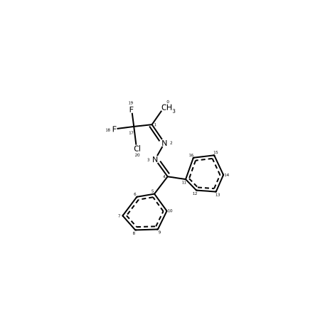 CC(=NN=C(c1ccccc1)c1ccccc1)C(F)(F)Cl